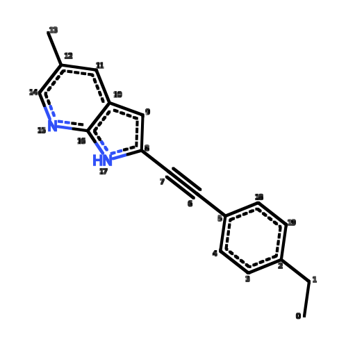 CCc1ccc(C#Cc2cc3cc(C)cnc3[nH]2)cc1